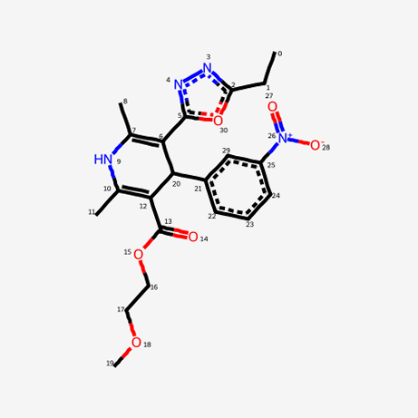 CCc1nnc(C2=C(C)NC(C)=C(C(=O)OCCOC)C2c2cccc([N+](=O)[O-])c2)o1